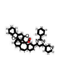 C1=Cc2ccc(-c3cc(-c4cccnc4)nc(-c4ccccc4)n3)cc2C2(c3ccccc31)c1ccccc1Oc1cc3c(cc12)oc1ccccc13